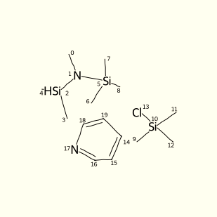 CN([SiH](C)C)[Si](C)(C)C.C[Si](C)(C)Cl.c1ccncc1